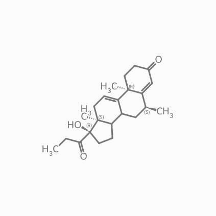 CCC(=O)[C@@]1(O)CCC2C3C[C@H](C)C4=CC(=O)CC[C@]4(C)C3=CC[C@@]21C